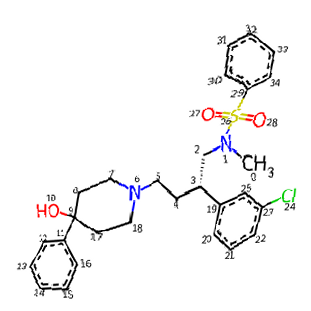 CN(C[C@@H](CCN1CCC(O)(c2ccccc2)CC1)c1cccc(Cl)c1)S(=O)(=O)c1ccccc1